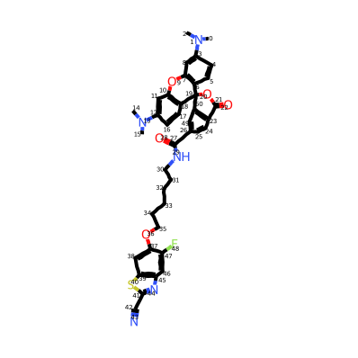 CN(C)c1ccc2c(c1)Oc1cc(N(C)C)ccc1C21OC(=O)c2ccc(C(=O)NCCCCCCOc3cc4sc(C#N)nc4cc3F)cc21